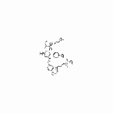 CCC(C[C@@H]1C[C@H](c2ccc(OCCCOC)cc2)[C@@H](OCc2ccc3c(c2)N(CCCOC)CCO3)CN1)C(=O)OCCCOC